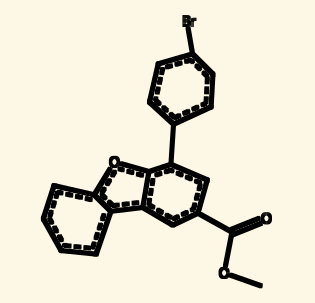 COC(=O)c1cc(-c2ccc(Br)cc2)c2oc3ccccc3c2c1